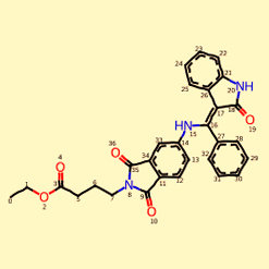 CCOC(=O)CCCN1C(=O)c2ccc(NC(=C3C(=O)Nc4ccccc43)c3ccccc3)cc2C1=O